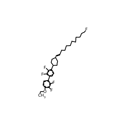 CCOc1ccc(-c2ccc(C3CCC(/C=C/CCCCCCCCCCF)CC3)c(F)c2F)c(F)c1F